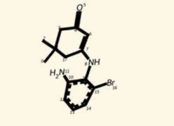 CC1(C)CC(=O)C=C(Nc2c(N)cccc2Br)C1